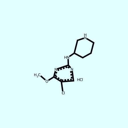 COc1nc(NC2CCCNC2)ncc1Cl.Cl